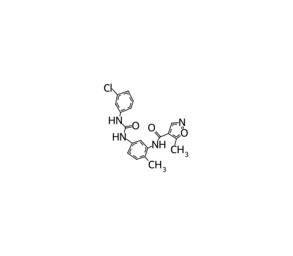 Cc1ccc(NC(=O)Nc2cccc(Cl)c2)cc1NC(=O)c1cnoc1C